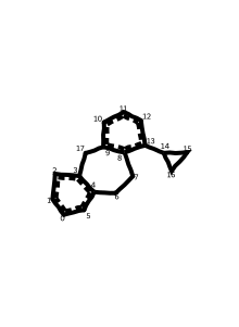 c1ccc2c(c1)CCc1c(cccc1C1CC1)C2